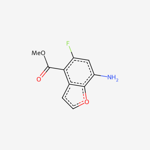 COC(=O)c1c(F)cc(N)c2occc12